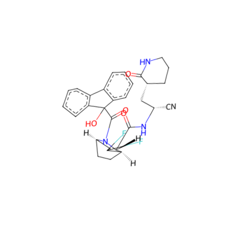 N#C[C@@H](C[C@H]1CCCNC1=O)NC(=O)[C@@H]1[C@H]2CC[C@H](CC2(F)F)N1C(=O)C1(O)c2ccccc2-c2ccccc21